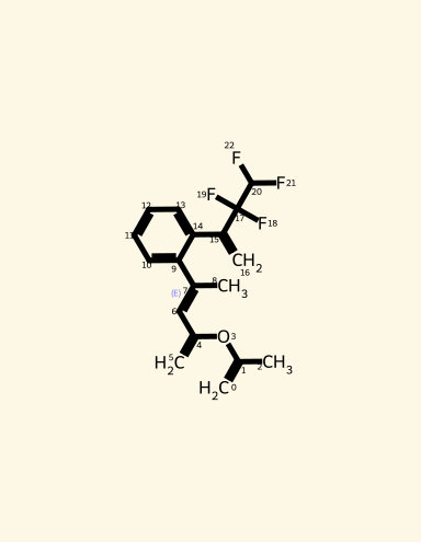 C=C(C)OC(=C)/C=C(\C)c1ccccc1C(=C)C(F)(F)C(F)F